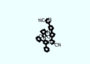 N#Cc1cncc(-c2ccc3c4ccc(-c5cncc(C#N)c5)cc4n(-c4cccc5c4C(=O)N(c4ccc(-c6ccccc6)cc4-c4ccccc4)C5=O)c3c2)c1